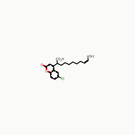 CCCCCCCC/C=C\CCCCCCC(C(=O)O)c1cc(=O)oc2ccc(Cl)cc12